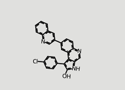 Oc1[nH]c2cnc3ccc(-c4cnc5ccccc5c4)cc3c2c1-c1ccc(Cl)cc1